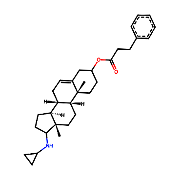 C[C@]12CCC(OC(=O)CCc3ccccc3)CC1=CC[C@@H]1[C@H]2CC[C@]2(C)C(NC3CC3)CC[C@@H]12